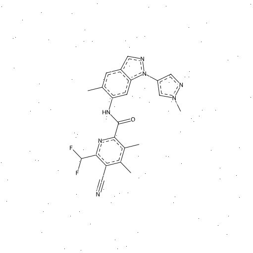 Cc1cc2cnn(-c3cnn(C)c3)c2cc1NC(=O)c1nc(C(F)F)c(C#N)c(C)c1C